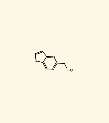 O=C(O)Cc1ncc2occc2n1